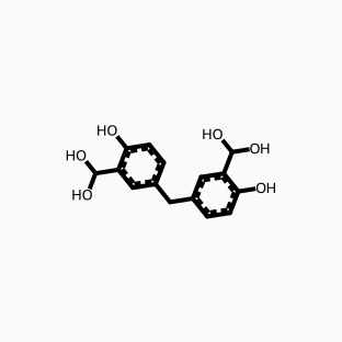 Oc1ccc(Cc2ccc(O)c(C(O)O)c2)cc1C(O)O